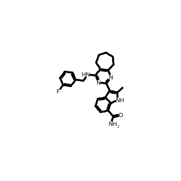 Cc1[nH]c2c(C(N)=O)cccc2c1-c1nc2c(c(NCc3cccc(F)c3)n1)CCCCC2